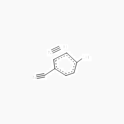 C#N.Cc1ccc(C#N)cc1